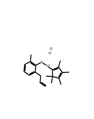 C=CCc1cccc(C)c1[O][Ti+2][C]1=C(C)C(C)=C(C)C1(C)C.[Cl-].[Cl-]